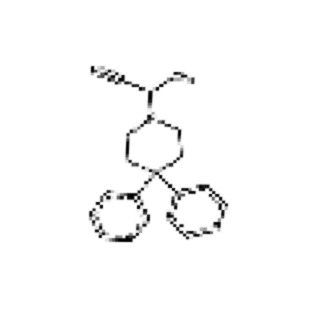 CC(C#N)N1CCC(c2ccccc2)(c2ccccc2)CC1